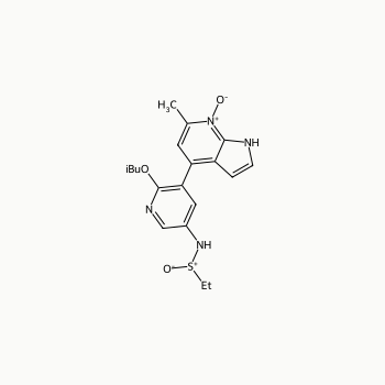 CC[S+]([O-])Nc1cnc(OCC(C)C)c(-c2cc(C)[n+]([O-])c3[nH]ccc23)c1